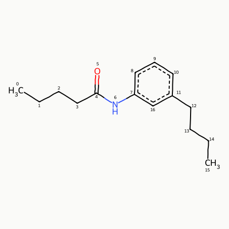 CCCCC(=O)Nc1cccc(CCCC)c1